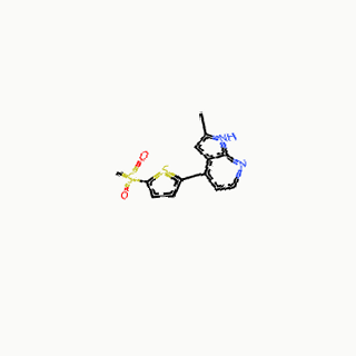 Cc1cc2c(-c3ccc(S(C)(=O)=O)s3)ccnc2[nH]1